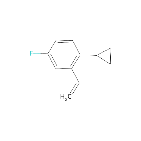 C=Cc1cc(F)ccc1C1CC1